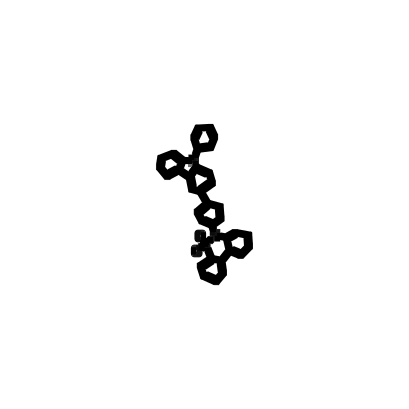 O=S1(=O)c2ccccc2-c2ccccc2N1c1ccc(-c2ccc3c(c2)c2ccccc2n3-c2ccccc2)cc1